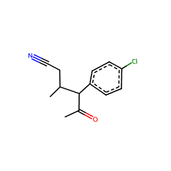 CC(=O)C(c1ccc(Cl)cc1)C(C)CC#N